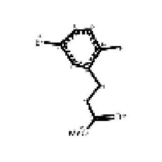 COC(=O)CCc1cc(Br)ccc1C